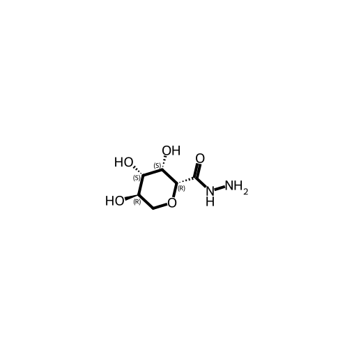 NNC(=O)[C@@H]1OC[C@@H](O)[C@H](O)[C@@H]1O